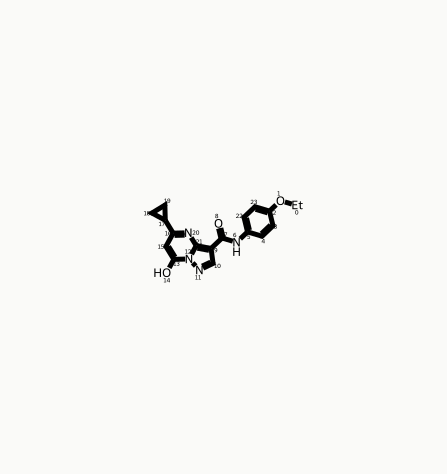 CCOc1ccc(NC(=O)c2cnn3c(O)cc(C4CC4)nc23)cc1